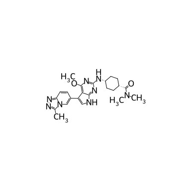 COc1nc(N[C@H]2CC[C@@H](C(=O)N(C)C)CC2)nc2[nH]cc(-c3ccc4nnc(C)n4c3)c12